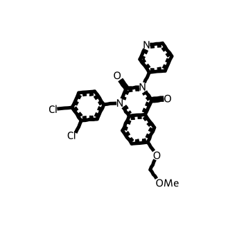 COCOc1ccc2c(c1)c(=O)n(-c1cccnc1)c(=O)n2-c1ccc(Cl)c(Cl)c1